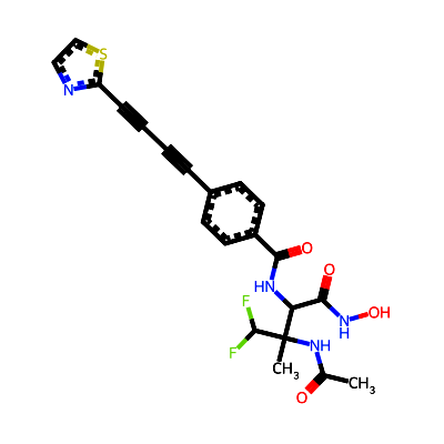 CC(=O)NC(C)(C(F)F)C(NC(=O)c1ccc(C#CC#Cc2nccs2)cc1)C(=O)NO